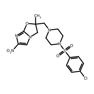 CC1(CN2CCN(S(=O)(=O)c3ccc(Cl)cc3)CC2)Cn2cc([N+](=O)[O-])nc2O1